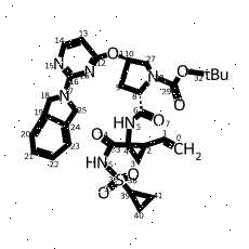 C=CC1CC1(NC(=O)[C@@H]1C[C@@H](Oc2ccnc(N3Cc4ccccc4C3)n2)CN1C(=O)OC(C)(C)C)C(=O)NS(=O)(=O)C1CC1